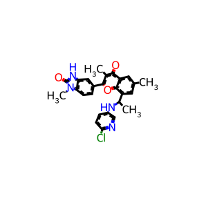 Cc1cc(C(C)Nc2ccc(Cl)nc2)c2oc(-c3ccc4c(c3)[nH]c(=O)n4C)c(C)c(=O)c2c1